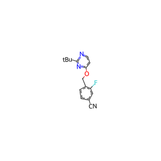 CC(C)(C)c1nccc(OCc2ccc(C#N)cc2F)n1